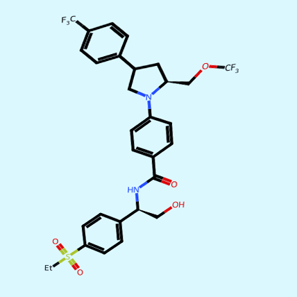 CCS(=O)(=O)c1ccc([C@H](CO)NC(=O)c2ccc(N3CC(c4ccc(C(F)(F)F)cc4)C[C@H]3COC(F)(F)F)cc2)cc1